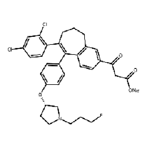 COC(=O)CC(=O)c1ccc2c(c1)CCCC(c1ccc(Cl)cc1Cl)=C2c1ccc(O[C@H]2CCN(CCCF)C2)cc1